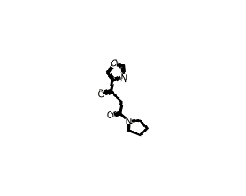 O=C(CC(=O)N1CCCC1)c1cocn1